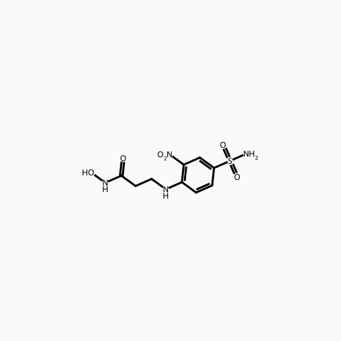 NS(=O)(=O)c1ccc(NCCC(=O)NO)c([N+](=O)[O-])c1